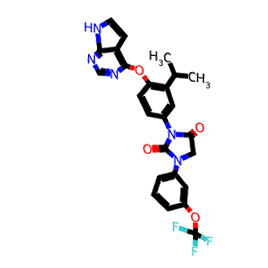 CC(C)c1cc(N2C(=O)CN(c3cccc(OC(F)(F)F)c3)C2=O)ccc1Oc1ncnc2[nH]ccc12